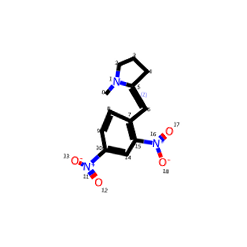 CN1CCC/C1=C/c1ccc([N+](=O)[O-])cc1[N+](=O)[O-]